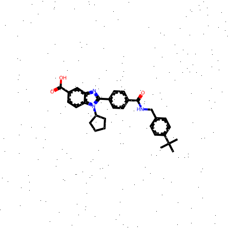 CC(C)(C)c1ccc(CNC(=O)c2ccc(-c3nc4cc(C(=O)O)ccc4n3C3CCCC3)cc2)cc1